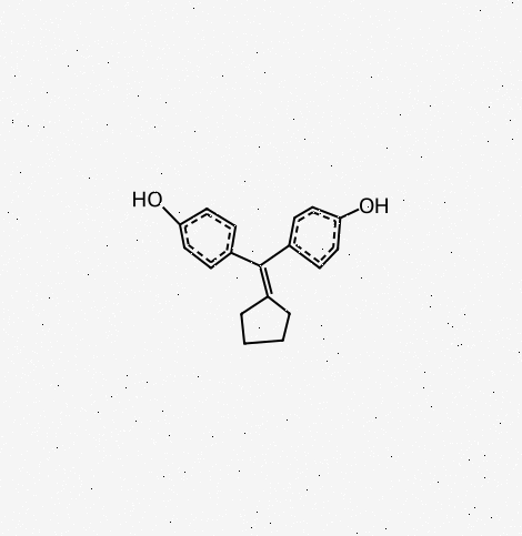 Oc1ccc(C(=C2CCCC2)c2ccc(O)cc2)cc1